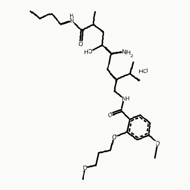 CCCCNC(=O)C(C)CC(O)C(N)CC(CNC(=O)c1ccc(OC)cc1OCCCOC)C(C)C.Cl